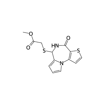 COC(=O)CSC1NC(=O)c2sccc2-n2cccc21